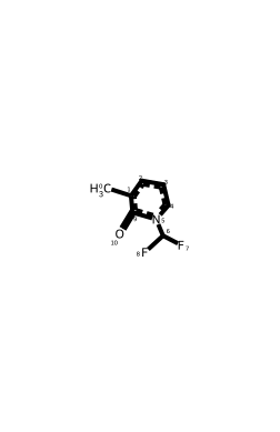 Cc1cccn(C(F)F)c1=O